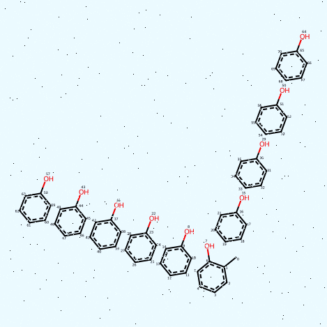 Cc1ccccc1O.Oc1ccccc1.Oc1ccccc1.Oc1ccccc1.Oc1ccccc1.Oc1ccccc1.Oc1ccccc1.Oc1ccccc1.Oc1ccccc1.Oc1ccccc1